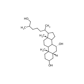 CC(CO)CCCC(C)C1CCC2C3C(CC[C@]12C)[C@@]1(C)CCC(O)C[C@H]1C[C@H]3O